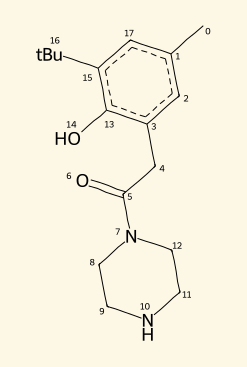 Cc1cc(CC(=O)N2CCNCC2)c(O)c(C(C)(C)C)c1